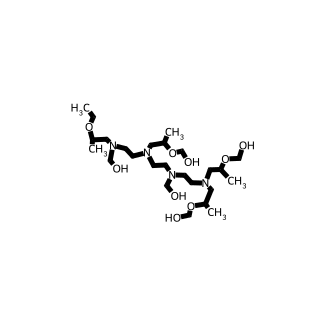 CCOC(C)CN(CO)CCN(CCN(CO)CCN(CC(C)OCO)CC(C)OCO)CC(C)OCO